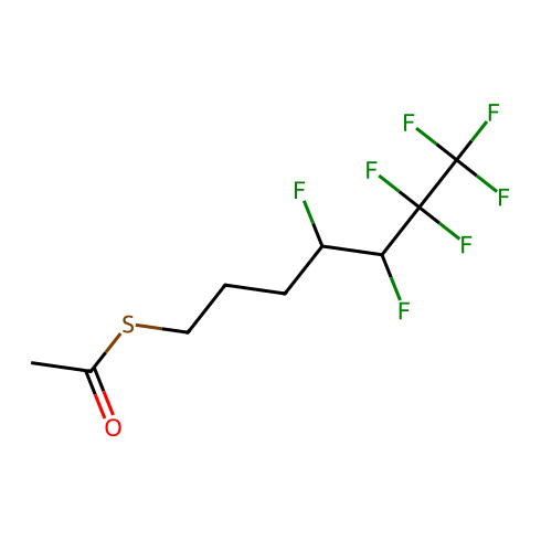 CC(=O)SCCCC(F)C(F)C(F)(F)C(F)(F)F